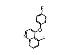 Fc1ccc(Oc2ccnc3cccc(F)c23)cc1